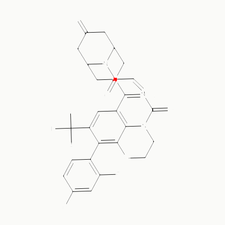 C=CC(=O)N1C2CC(=O)CC1CN(c1nc(=O)n3c4c(c(-c5ccc(F)cc5F)c(C(F)(F)F)cc14)OCC3)C2